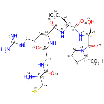 N=C(N)NCCC[C@H](NC(=O)CNC(=O)[C@H](N)CS)C(=O)N[C@@H](CC(=O)O)C(=O)N[C@@H](CO)C(=O)N1CCC[C@H]1C(=O)O